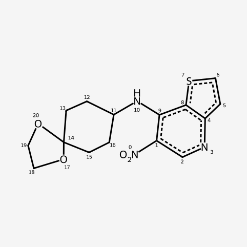 O=[N+]([O-])c1cnc2ccsc2c1NC1CCC2(CC1)OCCO2